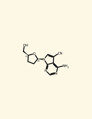 N#Cc1cn([C@H]2CC[C@@H](CO)O2)c2ncnc(N)c12